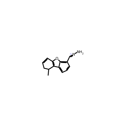 CC1CC=Cc2oc3c(/C=N/N)cccc3c21